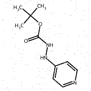 CC(C)(C)OC(=O)NNc1ccncc1